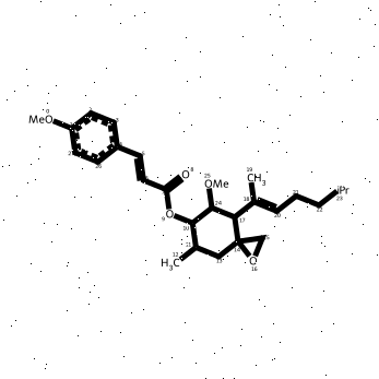 COc1ccc(C=CC(=O)OC2C(C)CC3(CO3)C(C(C)=CCCC(C)C)C2OC)cc1